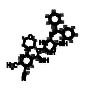 Cc1nc(N2CCOCC2)c(C(=N)OC(=N)NC2N=C(c3ccccc3)c3ccccc3NC2=O)cc1C#N